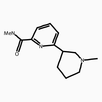 CNC(=O)c1cccc(C2CCCN(C)C2)n1